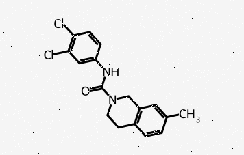 Cc1ccc2c(c1)CN(C(=O)Nc1ccc(Cl)c(Cl)c1)CC2